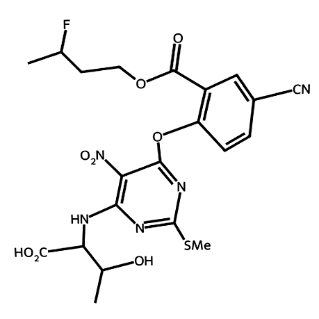 CSc1nc(NC(C(=O)O)C(C)O)c([N+](=O)[O-])c(Oc2ccc(C#N)cc2C(=O)OCCC(C)F)n1